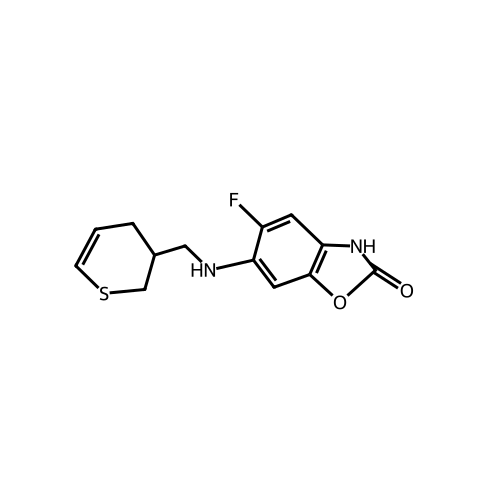 O=c1[nH]c2cc(F)c(NCC3CC=CSC3)cc2o1